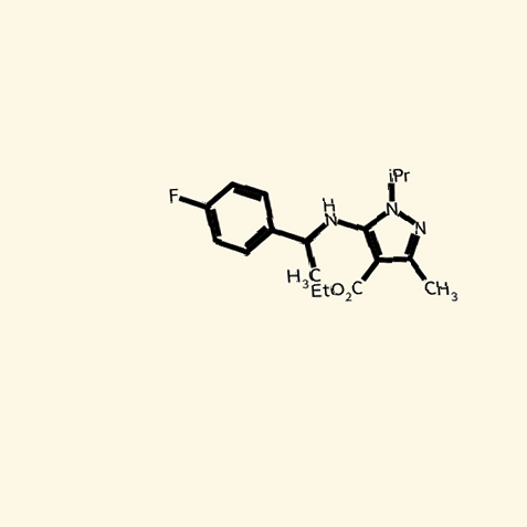 CCOC(=O)c1c(C)nn(C(C)C)c1NC(C)c1ccc(F)cc1